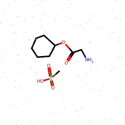 CS(=O)(=O)O.NCC(=O)OC1CCCCC1